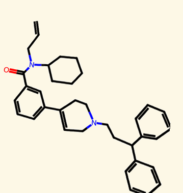 C=CCN(C(=O)c1cccc(C2=CCN(CCC(c3ccccc3)c3ccccc3)CC2)c1)C1CCCCC1